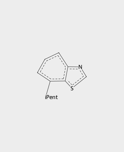 CCCC(C)c1cccc2ncsc12